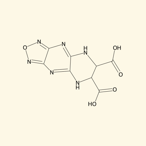 O=C(O)C1Nc2nc3nonc3nc2NC1C(=O)O